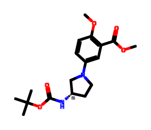 COC(=O)c1cc(N2CC[C@H](NC(=O)OC(C)(C)C)C2)ccc1OC